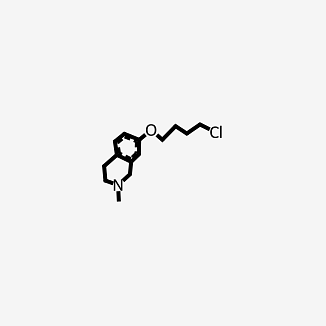 CN1CCc2ccc(OCCCCCl)cc2C1